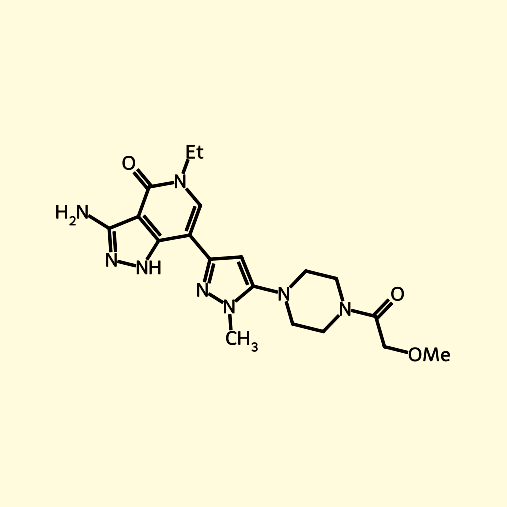 CCn1cc(-c2cc(N3CCN(C(=O)COC)CC3)n(C)n2)c2[nH]nc(N)c2c1=O